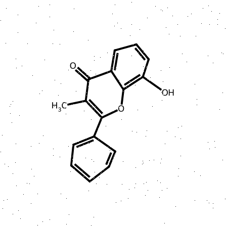 Cc1c(-c2ccccc2)oc2c(O)cccc2c1=O